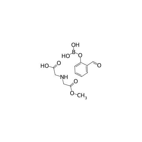 COC(=O)CNCC(=O)O.O=Cc1ccccc1OB(O)O